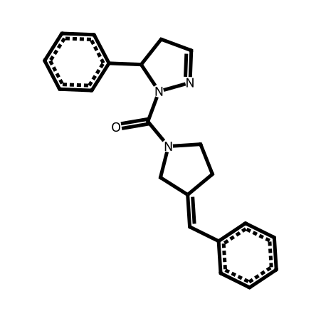 O=C(N1CCC(=Cc2ccccc2)C1)N1N=CCC1c1ccccc1